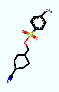 Cc1ccc(S(=O)(=O)OCC2CCC(C#N)CC2)cc1